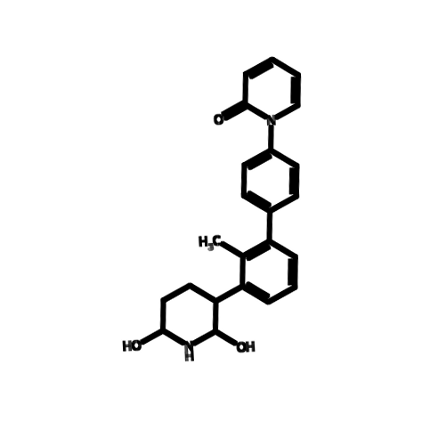 Cc1c(-c2ccc(-n3ccccc3=O)cc2)cccc1C1CCC(O)NC1O